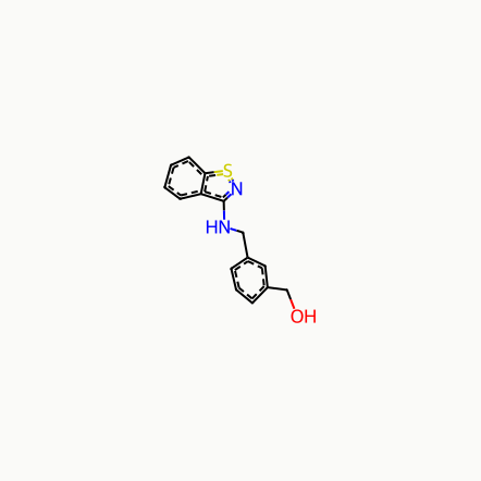 OCc1cccc(CNc2nsc3ccccc23)c1